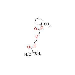 C=C(C)C(=O)OCCOCC(=O)OC1(C)CCCCC1